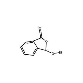 CCOC1OC(=O)c2ccccc21